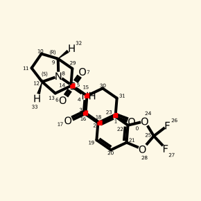 O=C1CCC(S(=O)(=O)N2[C@@H]3CC[C@H]2CC(NC(=O)c2ccc4c(c2)OC(F)(F)O4)C3)CC1